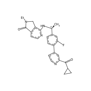 CCN1Cc2c(ccnc2N[C@@H](C)c2ccc(-c3ccnc(C(=O)C4CC4)c3)c(F)c2)C1=O